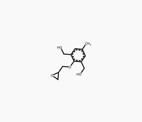 Cc1cc(CO)c(OCC2CO2)c(CO)c1